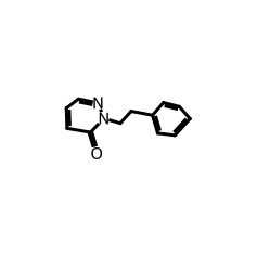 O=c1cccnn1CCc1ccccc1